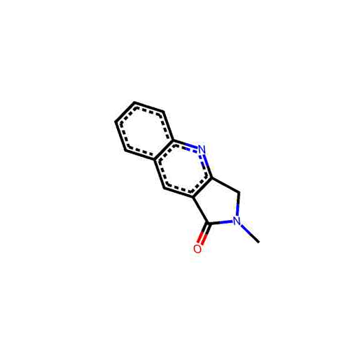 CN1Cc2nc3ccccc3cc2C1=O